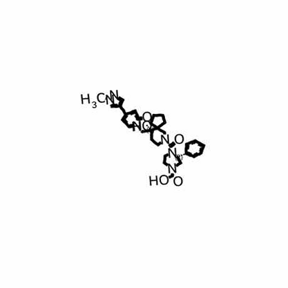 Cn1cc(-c2ccn(C[C@]3(O)CCN(C(=O)N4CCN(C(=O)O)C[C@H]4c4ccccc4)CC34CCCC4)c(=O)c2)cn1